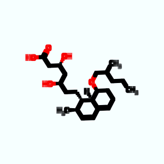 CCCC(C)CO[C@H]1CCC=C2C=C[C@@H](C)[C@H](CC[C@@H](O)C[C@@H](O)CC(=O)O)[C@H]21